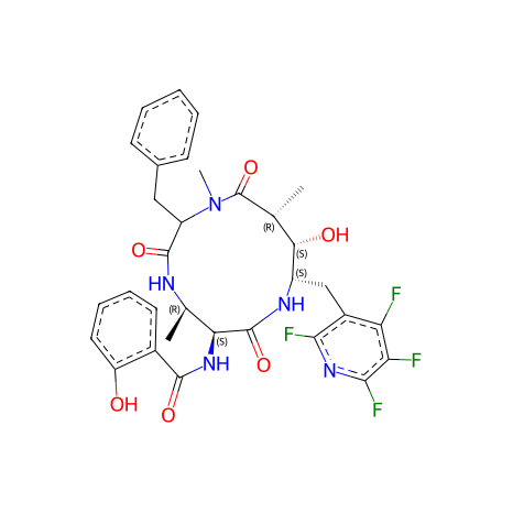 C[C@H]1NC(=O)C(Cc2ccccc2)N(C)C(=O)[C@H](C)[C@H](O)[C@H](Cc2c(F)nc(F)c(F)c2F)NC(=O)[C@H]1NC(=O)c1ccccc1O